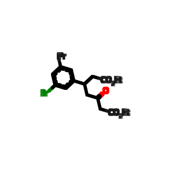 CCOC(=O)CC(=O)CC(CC(=O)OCC)c1cc(Br)cc(C(C)C)c1